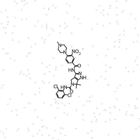 CN1CCN(c2ccc(C(=O)Nc3n[nH]c4c3CN(C(=O)Nc3c(Cl)cccc3Cl)C4(C)C)cc2[N+](=O)[O-])CC1